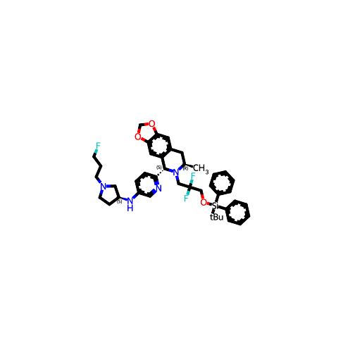 C[C@@H]1Cc2cc3c(cc2[C@@H](c2ccc(N[C@H]4CCN(CCCF)C4)cn2)N1CC(F)(F)CO[Si](c1ccccc1)(c1ccccc1)C(C)(C)C)OCO3